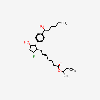 CCCCCC(O)c1ccc([C@@H]2[C@@H](CC=CCCCC(=O)OC(C)CC)[C@H](F)C[C@H]2O)cc1